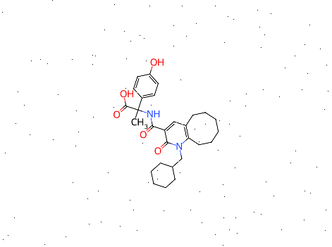 CC(NC(=O)c1cc2c(n(CC3CCCCC3)c1=O)CCCCCC2)(C(=O)O)c1ccc(O)cc1